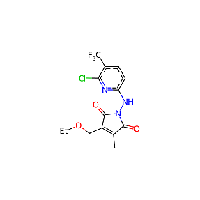 CCOCC1=C(C)C(=O)N(Nc2ccc(C(F)(F)F)c(Cl)n2)C1=O